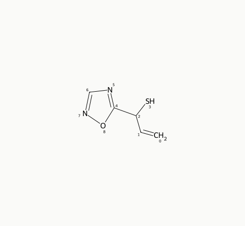 C=CC(S)c1ncno1